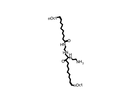 CCCCCCCC/C=C\CCCCCCCC(=O)NCCNCC(NCCN)C(=O)CCCCCCC/C=C\CCCCCCCC